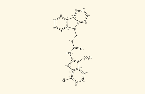 CCOC(=O)c1c(NC(=O)OCC2c3ccccc3-c3ccccc32)sc2c(Cl)ncnc12